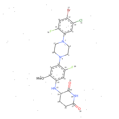 COc1cc(N2CCN(c3cc(Cl)c(Br)cc3F)CC2)c(F)cc1NC1CCC(=O)NC1=O